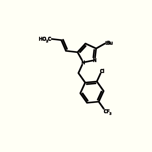 CC(C)(C)c1cc(C=CC(=O)O)n(Cc2ccc(C(F)(F)F)cc2Cl)n1